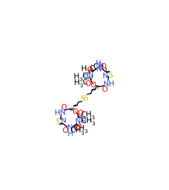 CC(C)[C@@H]1NC(=O)C(C)(C)NC(=O)c2csc(n2)CNC(=O)C[C@@H](C=CCCSSCCC=C[C@H]2CC(=O)NCc3nc(cs3)C(=O)NC(C)(C)C(=O)N[C@H](C(C)C)C(=O)O2)OC1=O